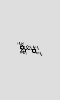 Nc1ccc(OCC(O)C(CO)c2cc(N)ccc2N)c(N)c1